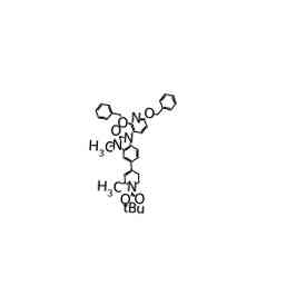 CC1C=C(c2ccc3c(c2)n(C)c(=O)n3-c2ccc(OCc3ccccc3)nc2OCc2ccccc2)CCN1C(=O)OC(C)(C)C